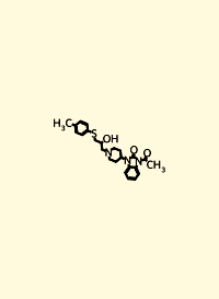 CC(=O)n1c(=O)n(C2CCN(CC(O)CSc3ccc(C)cc3)CC2)c2ccccc21